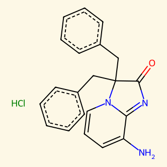 Cl.NC1=CC=CN2C1=NC(=O)C2(Cc1ccccc1)Cc1ccccc1